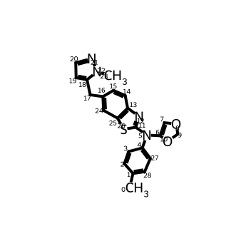 Cc1ccc(N(C2=COCO2)c2nc3ccc(Cc4ccnn4C)cc3s2)cc1